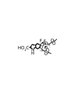 CC1OC([C@H](C)OP(=O)(O[C@@H](C)C2OC(C)O2)C(F)(F)c2ccc3[nH]c(C(=O)O)cc3c2)O1